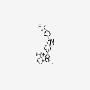 O=C(Nc1ccccc1C(F)(F)F)N1CCC2(CC1)CC(c1ccc(C(F)(F)F)cc1)=NO2